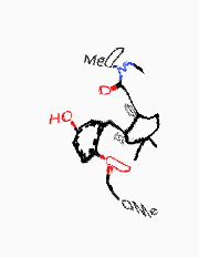 COCOc1ccc(O)cc1[C@H]1[C@@H](C(=O)N(C)OC)CCC1(C)C